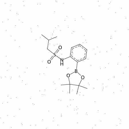 CC(C)CS(=O)(=O)Nc1ccccc1B1OC(C)(C)C(C)(C)O1